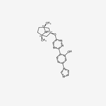 C[C@]12CC[C@](C)(C[C@@H](Oc3cnc(-c4ccc(-n5ccnc5)cc4O)nn3)C1)N2